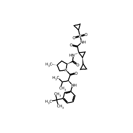 CC(C)[C@H](Nc1cccc(C(C)(C)C)c1)C(=O)N1C[C@H](C)C[C@H]1C(=O)N[C@]1(C(=O)NS(=O)(=O)C2CC2)C[C@H]1C1CC1